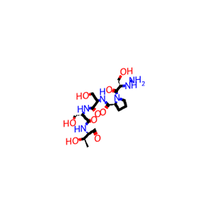 C[C@@H](O)[C@@H](C=O)NC(=O)[C@H](CO)NC(=O)C(CO)NC(=O)[C@@H]1CCCN1C(=O)[C@H](CO)NN